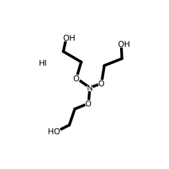 I.OCCON(OCCO)OCCO